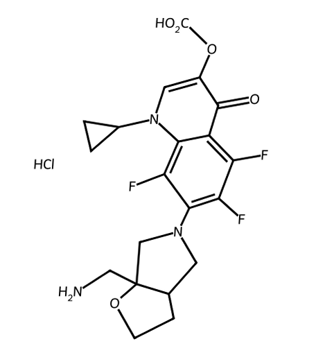 Cl.NCC12CN(c3c(F)c(F)c4c(=O)c(OC(=O)O)cn(C5CC5)c4c3F)CC1CCO2